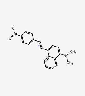 CN(C)c1ccc(/N=N/c2ccc([N+](=O)[O-])cc2)c2ccccc12